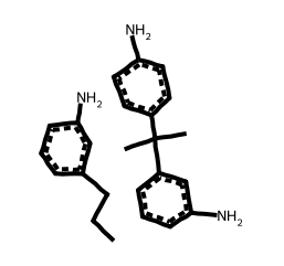 CC(C)(c1ccc(N)cc1)c1cccc(N)c1.CCCc1cccc(N)c1